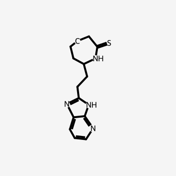 S=C1CCCCC(CCc2nc3cccnc3[nH]2)N1